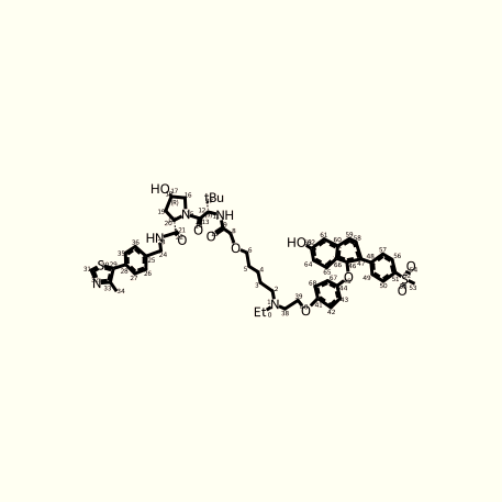 CCN(CCCCCOCC(=O)N[C@H](C(=O)N1C[C@H](O)C[C@H]1C(=O)NCc1ccc(-c2scnc2C)cc1)C(C)(C)C)CCOc1ccc(Oc2c(-c3ccc(S(C)(=O)=O)cc3)ccc3cc(O)ccc23)cc1